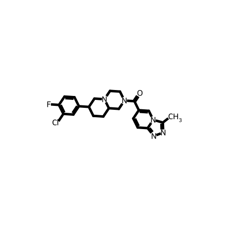 Cc1nnc2ccc(C(=O)N3CCN4CC(c5ccc(F)c(Cl)c5)CCC4C3)cn12